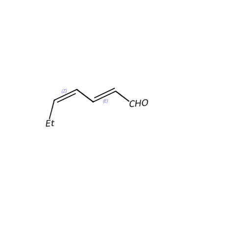 CC/C=C\C=C\C=O